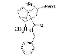 CCCCCC(CCC)CC1(C(=O)OCc2ccccc2)C(C(=O)O)C2C=CC1(C)C2